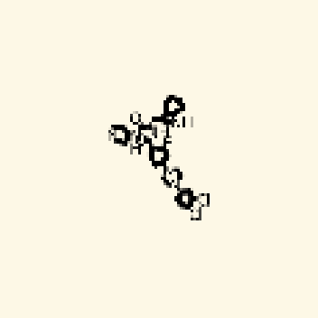 O=C(N[C@H](Cc1c[nH]c2ccccc12)C(=O)Nc1ccncc1)c1ccc(N2CCN(c3ccc(Cl)c(Cl)c3)CC2)cc1F